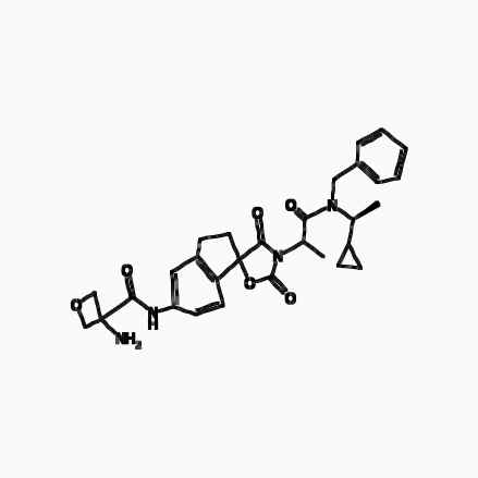 CC(C(=O)N(Cc1ccccc1)[C@@H](C)C1CC1)N1C(=O)OC2(CCc3cc(NC(=O)C4(N)COC4)ccc32)C1=O